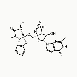 Cc1nc2c(ncn2[C@@H]2O[C@@](COP(=S)(NC(C)C(=O)OC(C)C)Oc3ccccc3)(N=[N+]=[N-])[C@@H](O)[C@H]2O)c(=O)[nH]1